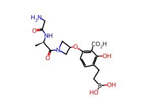 C[C@@H](NC(=O)CN)C(=O)N1CC(Oc2ccc(CCB(O)O)c(O)c2C(=O)O)C1